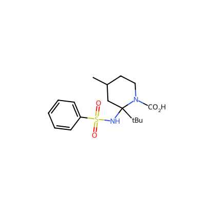 CC1CCN(C(=O)O)C(NS(=O)(=O)c2ccccc2)(C(C)(C)C)C1